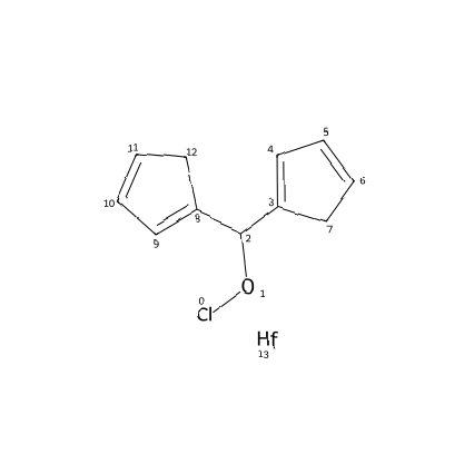 ClOC(C1=CC=CC1)C1=CC=CC1.[Hf]